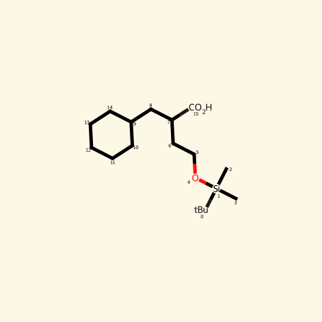 CC(C)(C)[Si](C)(C)OCCC(CC1CCCCC1)C(=O)O